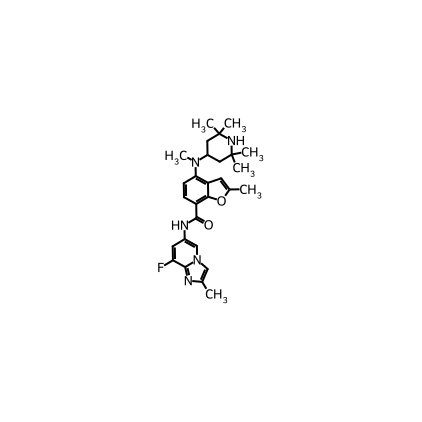 Cc1cn2cc(NC(=O)c3ccc(N(C)C4CC(C)(C)NC(C)(C)C4)c4cc(C)oc34)cc(F)c2n1